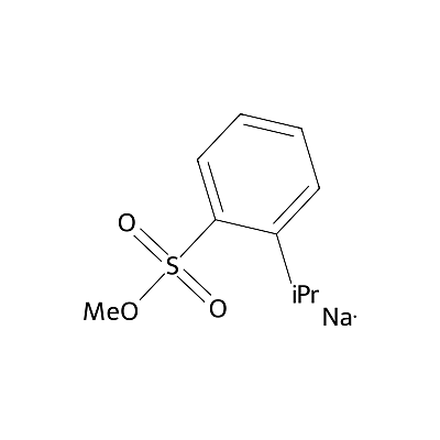 COS(=O)(=O)c1ccccc1C(C)C.[Na]